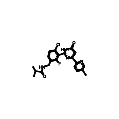 Cc1ccc(-c2cc(=O)[nH]c(-c3c(Cl)ccc(CNC(=O)C(C)C)c3F)n2)nc1